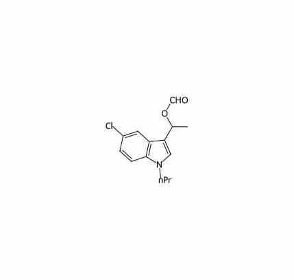 CCCn1cc(C(C)OC=O)c2cc(Cl)ccc21